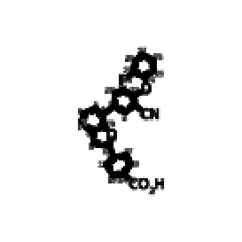 N#Cc1cc(-c2ccnc3cc(-c4ccc(C(=O)O)cc4)oc23)ccc1Oc1ccccc1F